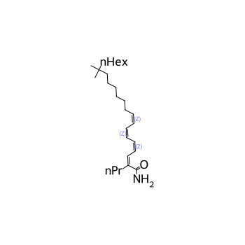 CCCCCCC(C)(C)CCCCCC\C=C/C=C\C=C/C=C(CCC)C(N)=O